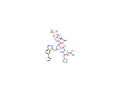 C=CC(=O)NC[C@H](NC(=O)OC1CCCC1)C(=O)N1C[C@H](Oc2nccc3ccc(-c4cccs4)cc23)C[C@H]1C(=O)N[C@]1(C(=O)NS(=O)(=O)C2CC2)CC1C=C